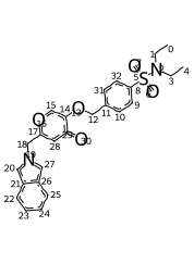 CCN(CC)S(=O)(=O)c1ccc(COc2coc(Cn3cc4ccccc4c3)cc2=O)cc1